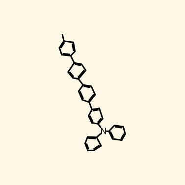 Cc1ccc(-c2ccc(-c3ccc(-c4ccc(N(c5ccccc5)c5ccccc5)cc4)cc3)cc2)cc1